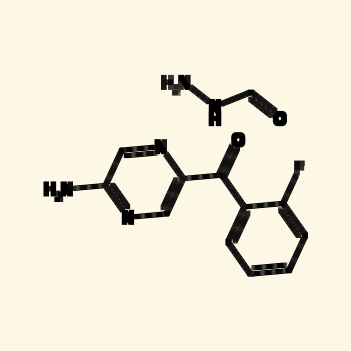 NNC=O.Nc1cnc(C(=O)c2ccccc2F)cn1